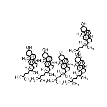 CC(C)CCC[C@@H](C)[C@H]1CC[C@H]2[C@@H]3CC=C4C[C@@H](O)CC[C@]4(C)[C@H]3CC[C@]12C.CC(C)CCC[C@@H](C)[C@H]1CC[C@H]2[C@@H]3CC=C4C[C@@H](O)CC[C@]4(C)[C@H]3CC[C@]12C.CC(C)CCC[C@@H](C)[C@H]1CC[C@H]2[C@@H]3CC=C4C[C@@H](O)CC[C@]4(C)[C@H]3CC[C@]12C.CC(C)CCC[C@@H](C)[C@H]1CC[C@H]2[C@@H]3CC=C4C[C@@H](O)CC[C@]4(C)[C@H]3CC[C@]12C.CC(C)CCC[C@@H](C)[C@H]1CC[C@H]2[C@@H]3CC=C4C[C@@H](O)CC[C@]4(C)[C@H]3CC[C@]12C